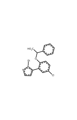 CCn1nccc1-c1cc(Cl)ccc1OC(C(=O)O)c1ccccc1